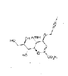 CC#CCO[C@H]1C=C(C(=O)O)O[C@@H]([C@H](O)[C@H](O)CO)[C@@H]1NC(C)=O